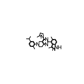 Cc1ccc(C(C)C)cc1N1CCc2nc(-c3c(C)ccc4[nH]nc(C)c34)nc(N3CCC3C)c2C1